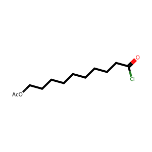 CC(=O)OCCCCCCCCCC(=O)Cl